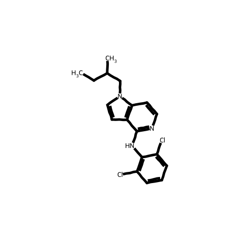 CCC(C)Cn1ccc2c(Nc3c(Cl)cccc3Cl)nccc21